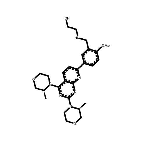 COc1ccc(-c2ccc3c(N4CCOC[C@@H]4C)nc(N4CCOC[C@@H]4C)nc3n2)cc1CNCCO